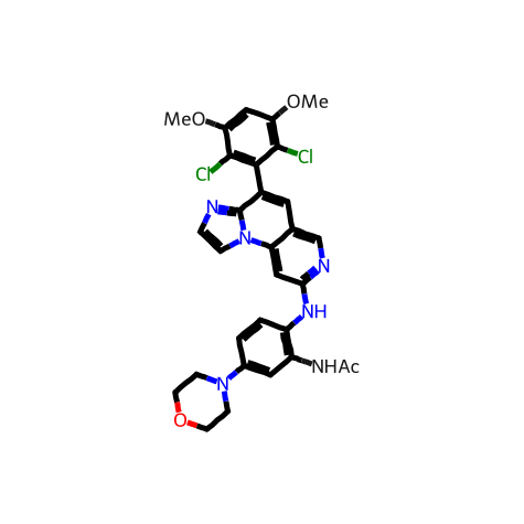 COc1cc(OC)c(Cl)c(-c2cc3cnc(Nc4ccc(N5CCOCC5)cc4NC(C)=O)cc3n3ccnc23)c1Cl